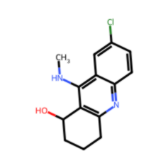 CNc1c2c(nc3ccc(Cl)cc13)CCCC2O